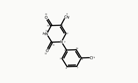 N#Cc1cn(-c2cccc(Cl)c2)c(=O)[nH]c1=O